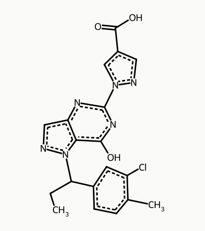 CCC(c1ccc(C)c(Cl)c1)n1ncc2nc(-n3cc(C(=O)O)cn3)nc(O)c21